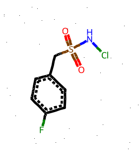 O=S(=O)(Cc1ccc(F)cc1)NCl